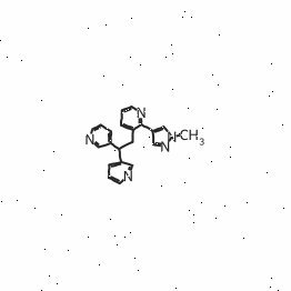 Cn1cc(-c2ncccc2CC(c2cccnc2)c2cccnc2)cn1